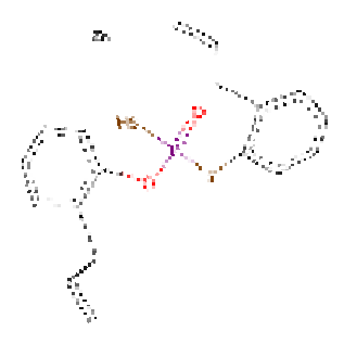 C=CCc1ccccc1OP(=O)(S)Sc1ccccc1CC=C.[Zn]